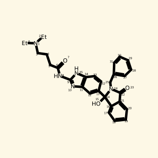 CCN(CC)CCCC(=O)Nc1nc2cc(C3(O)c4ccccc4C(=O)N3Cc3ccccc3)ccc2[nH]1